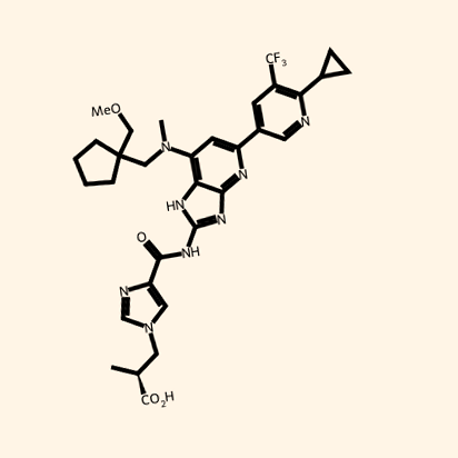 COCC1(CN(C)c2cc(-c3cnc(C4CC4)c(C(F)(F)F)c3)nc3nc(NC(=O)c4cn(C[C@H](C)C(=O)O)cn4)[nH]c23)CCCC1